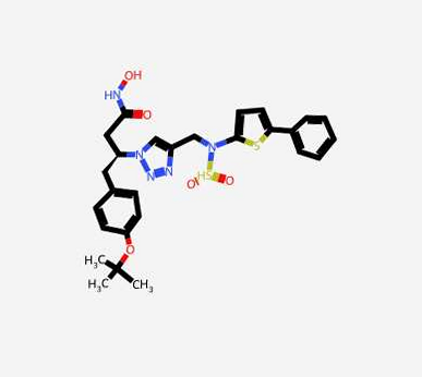 CC(C)(C)Oc1ccc(C[C@@H](CC(=O)NO)n2cc(CN(c3ccc(-c4ccccc4)s3)[SH](=O)=O)nn2)cc1